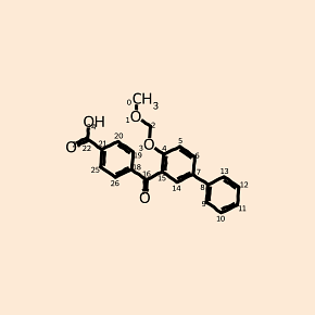 COCOc1ccc(-c2ccccc2)cc1C(=O)c1ccc(C(=O)O)cc1